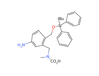 CN(Cc1cc(N)ccc1CO[Si](c1ccccc1)(c1ccccc1)C(C)(C)C)C(=O)O